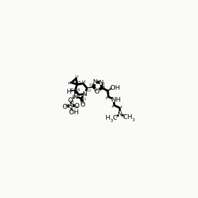 CN(C)CCNC[C@H](O)c1nnc([C@@H]2CC3(CC3)[C@@H]3CN2C(=O)N3OS(=O)(=O)O)o1